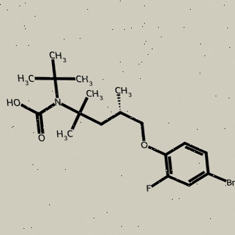 C[C@H](COc1ccc(Br)cc1F)CC(C)(C)N(C(=O)O)C(C)(C)C